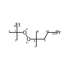 CCC(C)(C)OOC(C)(C)CCC(C)C